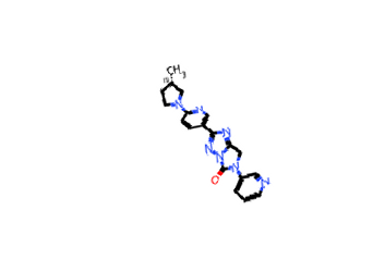 C[C@H]1CCN(c2ccc(-c3nc4n(n3)C(=O)N(c3cccnc3)C4)cn2)C1